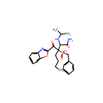 CCCCC(C(=O)c1nc2ccccc2o1)(C(NC(C)C)C(N)=O)S(=O)(=O)Cc1ccccc1